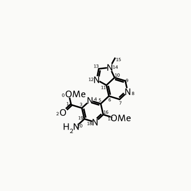 COC(=O)c1nc(-c2cncc3c2ncn3C)c(OC)nc1N